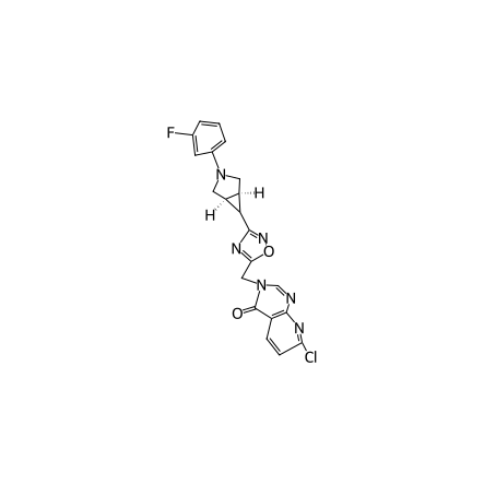 O=c1c2ccc(Cl)nc2ncn1Cc1nc(C2[C@H]3CN(c4cccc(F)c4)C[C@@H]23)no1